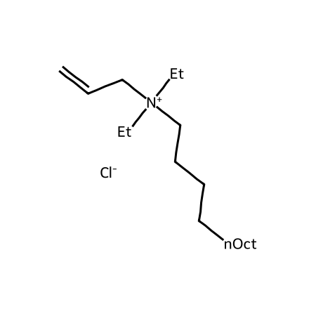 C=CC[N+](CC)(CC)CCCCCCCCCCCC.[Cl-]